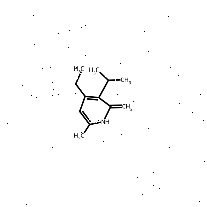 C=C1NC(C)=CC(CC)=C1C(C)C